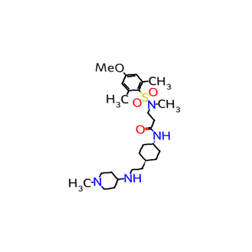 COc1cc(C)c(S(=O)(=O)N(C)CCC(=O)N[C@H]2CC[C@H](CCNC3CCN(C)CC3)CC2)c(C)c1